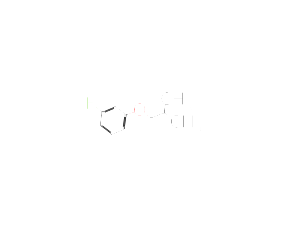 CC(C)COc1cccc(F)c1